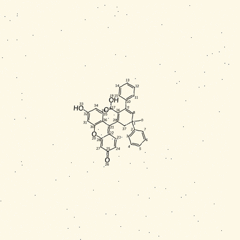 CC1(c2ccccc2)C=C(c2ccccc2)C(C(=O)O)=C(c2c3ccc(=O)cc-3oc3cc(O)ccc23)C1